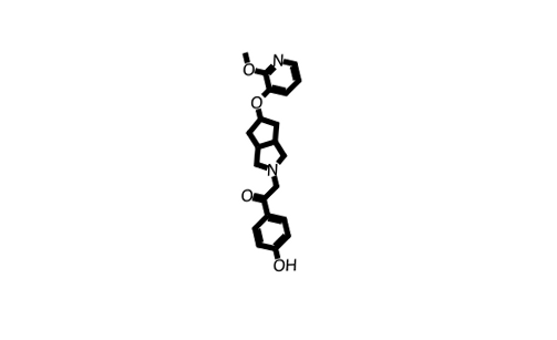 COc1ncccc1OC1CC2CN(CC(=O)c3ccc(O)cc3)CC2C1